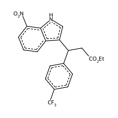 CCOC(=O)CC(c1ccc(C(F)(F)F)cc1)c1c[nH]c2c([N+](=O)[O-])cccc12